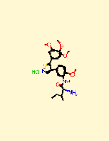 CCC(C)C(N)C(=O)Nc1cc(-c2cnsc2-c2cc(OC)c(OC)c(OC)c2)ccc1OC.Cl